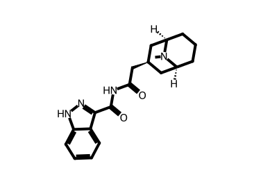 CN1[C@@H]2CCC[C@H]1C[C@@H](CC(=O)NC(=O)c1n[nH]c3ccccc13)C2